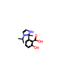 CC(C)N1C=CNC1(C)c1cccc(O)c1C(=O)O